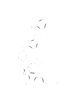 C/C(=C\C(=O)O)c1cc(F)c2nc(CN3CCC(Oc4cccc(COc5ccc(Cl)cc5F)n4)CC3)n(C[C@@H]3CCO3)c2c1